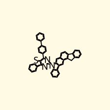 c1ccc(-c2ccc(-c3nc(-n4c5ccccc5c5cc6c7c(ccc6cc54)-c4ccccc4C7)nc4c3sc3ccccc34)cc2)cc1